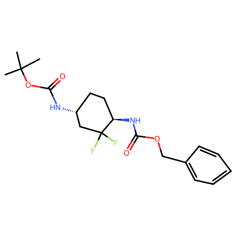 CC(C)(C)OC(=O)N[C@@H]1CC[C@@H](NC(=O)OCc2ccccc2)C(F)(F)C1